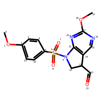 COc1ccc(S(=O)(=O)N2CC(C=O)c3cnc(OC)nc32)cc1